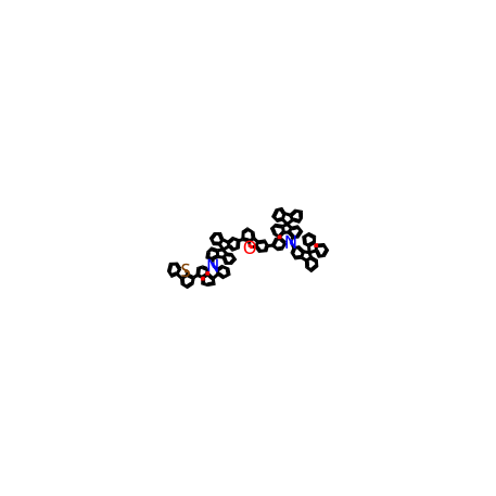 c1ccc(-c2ccccc2N(c2ccc(-c3cccc4c3sc3ccccc34)cc2)c2cccc3c2-c2ccccc2C32c3ccccc3-c3cc(-c4cccc5c4oc4ccc(-c6ccc(N(c7ccc8c(c7)C(c7ccccc7)(c7ccccc7)c7ccccc7-8)c7cccc8c7-c7ccccc7C87c8ccccc8-c8ccccc87)cc6)cc45)ccc32)cc1